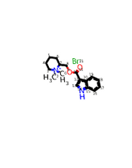 C[N+]1(C)CCCCC1COC(=O)c1c[nH]c2ccccc12.[Br-]